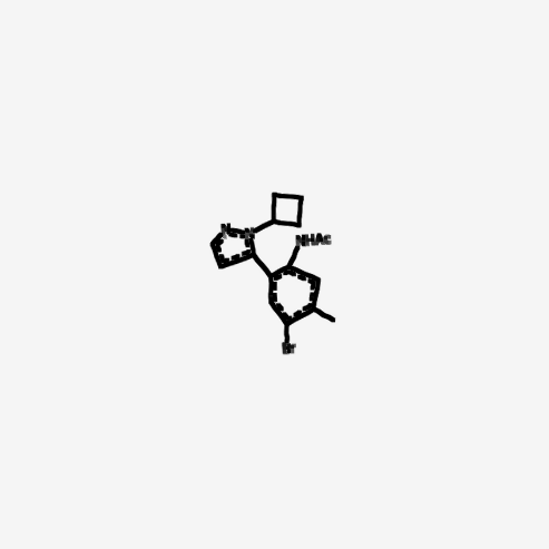 CC(=O)Nc1cc(C)c(Br)cc1-c1ccnn1C1CCC1